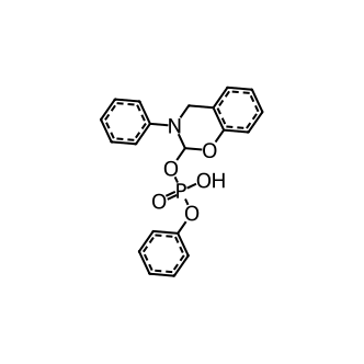 O=P(O)(Oc1ccccc1)OC1Oc2ccccc2CN1c1ccccc1